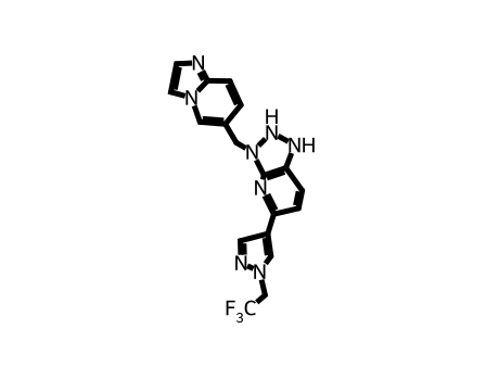 FC(F)(F)Cn1cc(-c2ccc3c(n2)N(Cc2ccc4nccn4c2)NN3)cn1